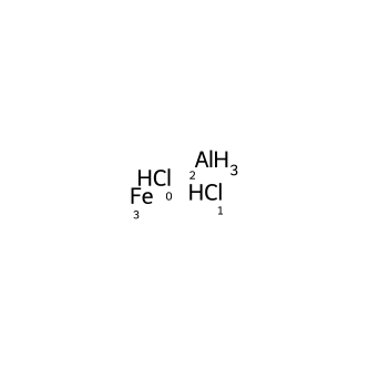 Cl.Cl.[AlH3].[Fe]